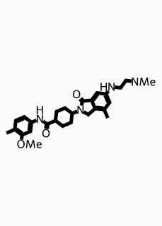 CNCCNc1cc(C)c2c(c1)C(=O)N(C1CCC(C(=O)Nc3ccc(C)c(OC)c3)CC1)C2